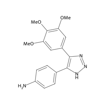 COc1cc(-c2nn[nH]c2-c2ccc(N)cc2)cc(OC)c1OC